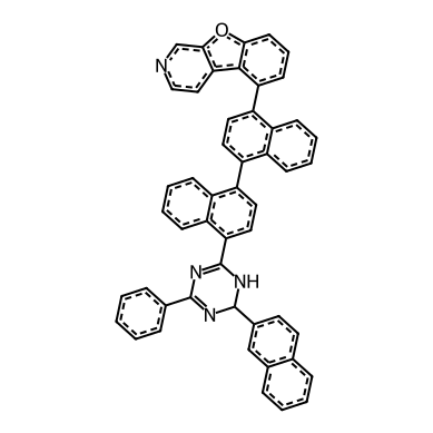 c1ccc(C2=NC(c3ccc4ccccc4c3)NC(c3ccc(-c4ccc(-c5cccc6oc7cnccc7c56)c5ccccc45)c4ccccc34)=N2)cc1